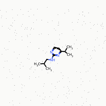 CC(C)CNc1nccc(C(C)C)n1